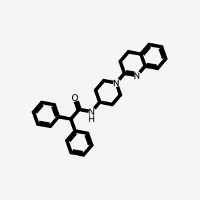 O=C(NC1CCN(C2=Nc3ccccc3CC2)CC1)C(c1ccccc1)c1ccccc1